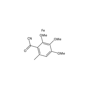 COc1cc(C)c(C(=O)C#N)c(OC)c1OC.[Fe]